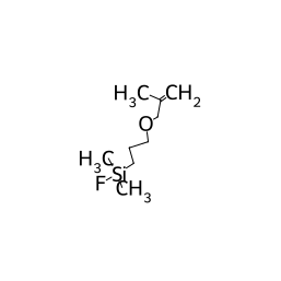 C=C(C)COCCC[Si](C)(C)F